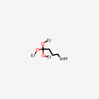 CCOC(CC[CH2][SnH])(OCC)OCC